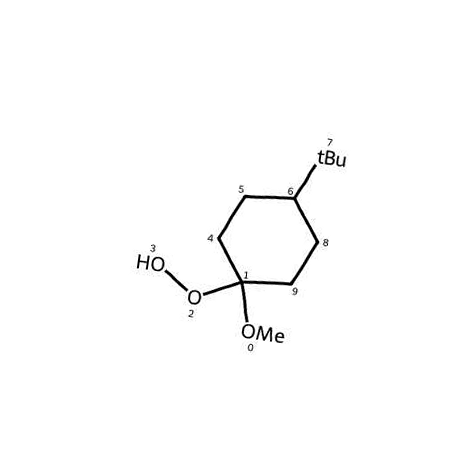 COC1(OO)CCC(C(C)(C)C)CC1